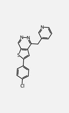 Clc1ccc(-c2cc3c(Cc4cccnc4)nncc3s2)cc1